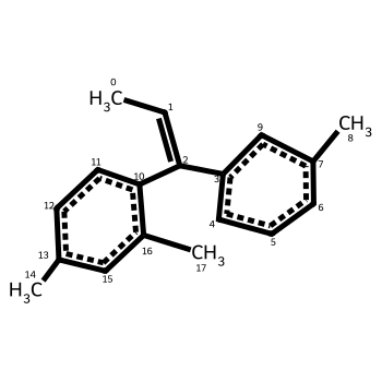 CC=C(c1cccc(C)c1)c1ccc(C)cc1C